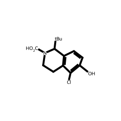 CC(C)(C)C1c2ccc(O)c(Cl)c2CCN1C(=O)O